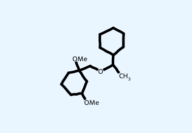 COC1CCCC(COC(C)C2CCCCC2)(OC)C1